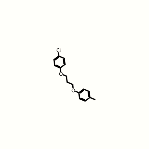 Cc1ccc(OCCCOc2ccc(Cl)cc2)cc1